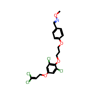 CO/N=C/c1ccc(OCCCOc2c(Cl)cc(OCC=C(Cl)Cl)cc2Cl)cc1